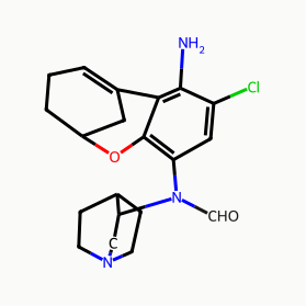 Nc1c(Cl)cc(N(C=O)C2CN3CCC2CC3)c2c1C1=CCCC(C1)O2